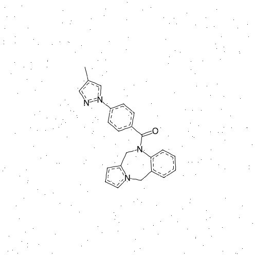 Cc1cnn(-c2ccc(C(=O)N3Cc4cccn4Cc4ccccc43)cc2)c1